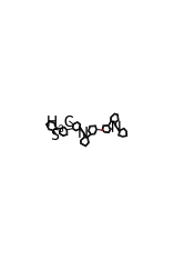 Cc1ccc(-n2c3ccccc3c3cc(-c4ccc5c(c4)c4ccccc4n5-c4ccccc4)ccc32)cc1-c1ccc2sc3ccccc3c2c1